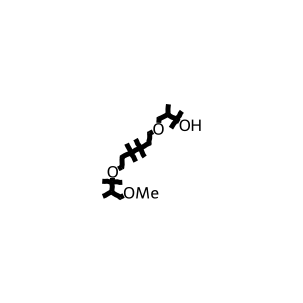 COCC(C)C(C)(C)OCCC(C)(C)C(C)(C)CCOCC(C)C(C)(C)O